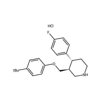 CC(C)(C)c1ccc(OC[C@@H]2CNCC[C@H]2c2ccc(F)cc2)cc1.Cl